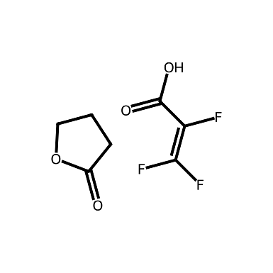 O=C(O)C(F)=C(F)F.O=C1CCCO1